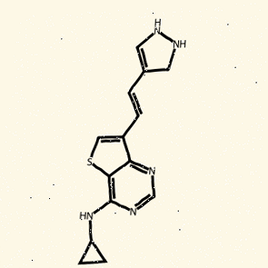 C1=C(/C=C/c2csc3c(NC4CC4)ncnc23)CNN1